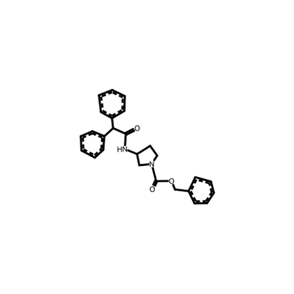 O=C(NC1CCN(C(=O)OCc2ccccc2)C1)C(c1ccccc1)c1ccccc1